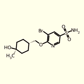 C[C@]1(O)CC[C@H](COc2ncc(S(N)(=O)=O)cc2Br)CC1